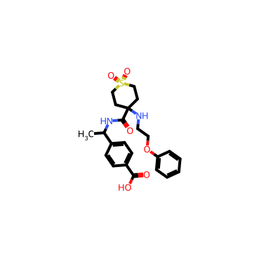 CC(NC(=O)C1(NCCOc2ccccc2)CCS(=O)(=O)CC1)c1ccc(C(=O)O)cc1